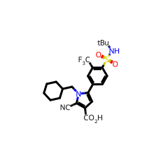 CC(C)(C)NS(=O)(=O)c1ccc(-c2cc(C(=O)O)c(C#N)n2CC2CCCCC2)cc1C(F)(F)F